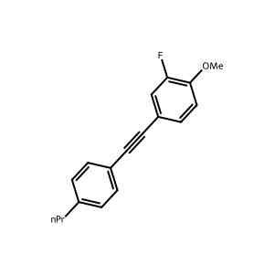 CCCc1ccc(C#Cc2ccc(OC)c(F)c2)cc1